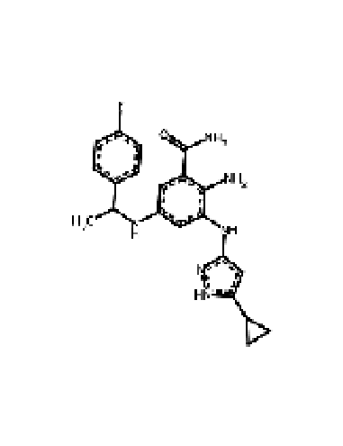 CC(Nc1cc(Nc2cc(C3CC3)[nH]n2)c(N)c(C(N)=O)c1)c1ccc(F)cc1